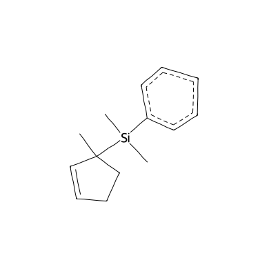 CC1([Si](C)(C)c2ccccc2)C=CCC1